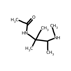 CNC(C)C(C)(C)NC(C)=O